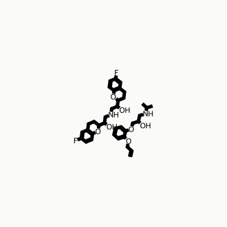 C=CCOc1ccccc1OCC(O)CNC(C)C.OC(CNCC(O)C1CCc2cc(F)ccc2O1)C1CCc2cc(F)ccc2O1